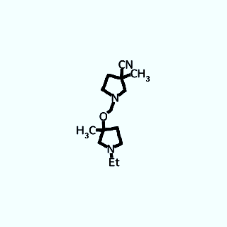 CCN1CCC(C)(OCN2CCC(C)(C#N)C2)C1